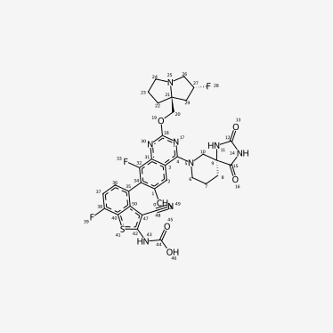 Cc1cc2c(N3CCC[C@]4(C3)NC(=O)NC4=O)nc(OC[C@@]34CCCN3C[C@H](F)C4)nc2c(F)c1-c1ccc(F)c2sc(NC(=O)O)c(C#N)c12